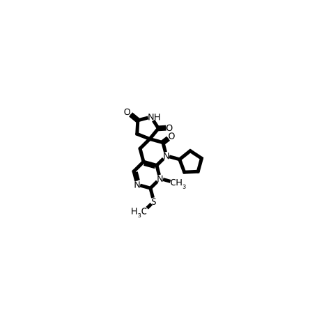 CSC1N=CC2=C(N1C)N(C1CCCC1)C(=O)C1(CC(=O)NC1=O)C2